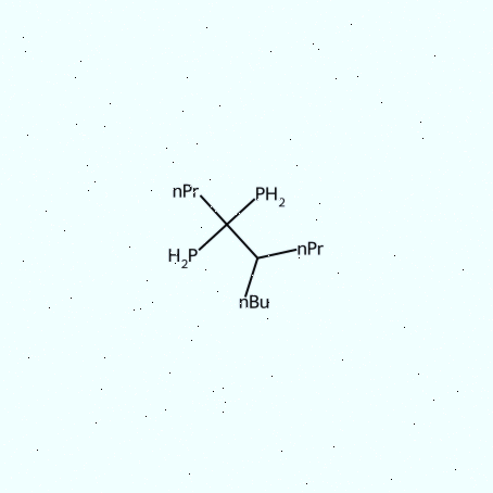 CCCCC(CCC)C(P)(P)CCC